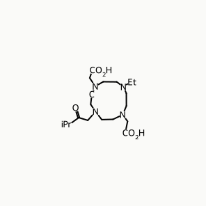 CCN1CCN(CC(=O)O)CCN(CC(=O)C(C)C)CCN(CC(=O)O)CC1